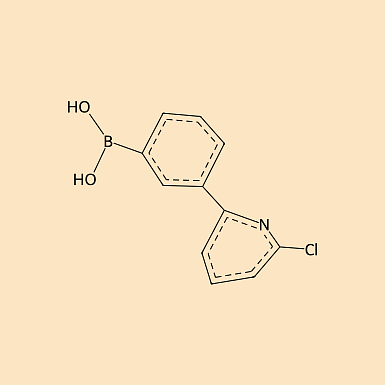 OB(O)c1cccc(-c2cccc(Cl)n2)c1